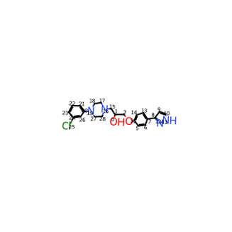 OC(COc1ccc(-c2cc[nH]n2)cc1)CN1CCN(c2cccc(Cl)c2)CC1